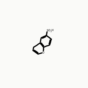 O=S(=O)(O)c1ccc2c(c1)CC=CO2